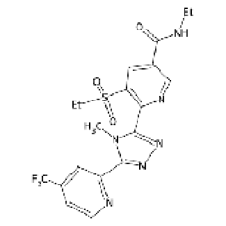 CCNC(=O)c1cnc(-c2nnc(-c3cc(C(F)(F)F)ccn3)n2C)c(S(=O)(=O)CC)c1